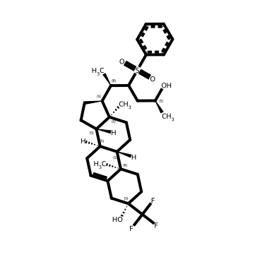 C[C@H](O)CC([C@H](C)[C@@H]1CC[C@H]2[C@@H]3CC=C4C[C@](O)(C(F)(F)F)CC[C@]4(C)[C@H]3CC[C@@]21C)S(=O)(=O)c1ccccc1